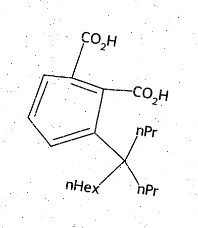 CCCCCCC(CCC)(CCC)c1cccc(C(=O)O)c1C(=O)O